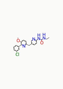 CCNC(=O)Nc1ccc(Cc2ccc(OC)c(-c3cccc(Cl)c3)n2)cn1